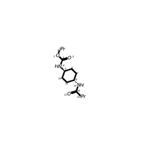 CC(C)OC(=O)N[C@H]1CC[C@H](NC(=O)C(C)C)CC1